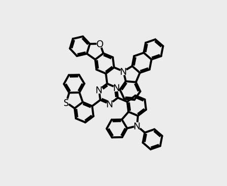 c1ccc(-n2c3ccccc3c3c(-c4nc(-c5cc6c(cc5-n5c7ccccc7c7cc8ccccc8cc75)oc5ccccc56)nc(-c5cccc6sc7ccccc7c56)n4)cccc32)cc1